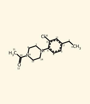 CCc1ccc(N2CCN(C(C)=O)CC2)c(Cl)c1